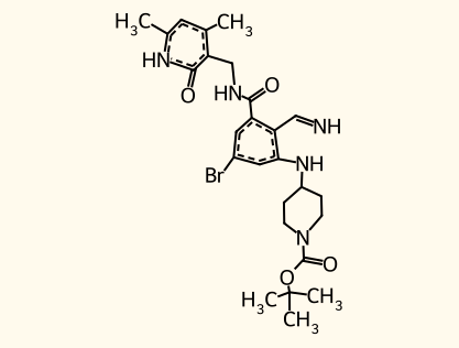 Cc1cc(C)c(CNC(=O)c2cc(Br)cc(NC3CCN(C(=O)OC(C)(C)C)CC3)c2C=N)c(=O)[nH]1